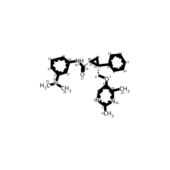 Cc1ncc(OC[C@@]2(c3ccccc3)C[C@H]2C(=O)Nc2cccc(N(C)C)c2)c(C)n1